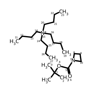 CC(C)(C)OC(=O)N1CCC1.CCCC[N+](CCCC)(CCCC)CCCC